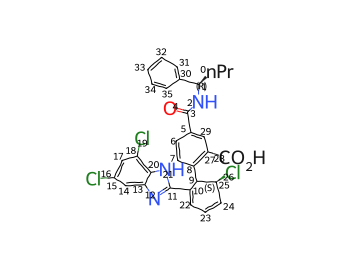 CCC[C@@H](NC(=O)c1ccc(C2C(c3nc4cc(Cl)cc(Cl)c4[nH]3)=CC=C[C@@H]2Cl)c(C(=O)O)c1)c1ccccc1